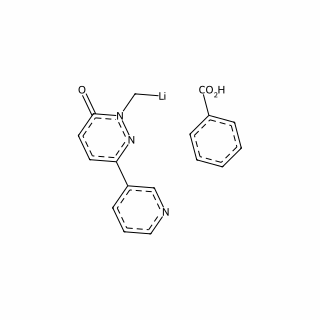 O=C(O)c1ccccc1.[Li][CH2]n1nc(-c2cccnc2)ccc1=O